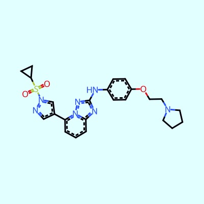 O=S(=O)(C1CC1)n1cc(-c2cccc3nc(Nc4ccc(OCCN5CCCC5)cc4)nn23)cn1